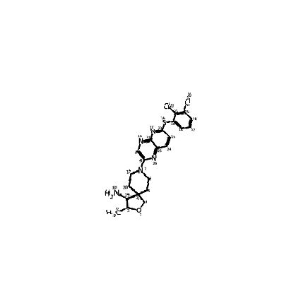 C[C@@H]1OCC2(CCN(c3cnc4nc(Sc5cccc(Cl)c5Cl)ccc4n3)CC2)[C@@H]1N